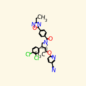 CCc1noc(-c2ccc(C(=O)N3C[C@H]([C@H](C)Oc4ccc(C#N)cn4)[C@@H](c4ccc(Cl)c(Cl)c4)C3)cc2)n1